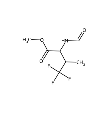 COC(=O)C(NC=O)C(C)C(F)(F)F